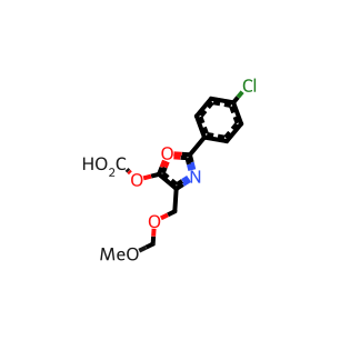 COCOCc1nc(-c2ccc(Cl)cc2)oc1OC(=O)O